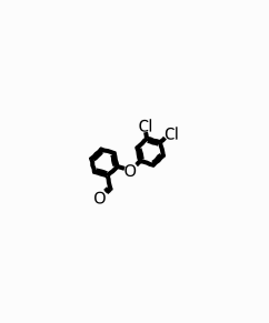 O=Cc1ccccc1Oc1ccc(Cl)c(Cl)c1